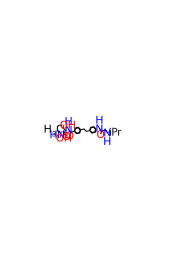 CC(C)NCC(=O)Nc1ccc(CCc2ccc(C(=O)N[C@H](C(=O)NO)[C@@H](C)O)cc2)cc1